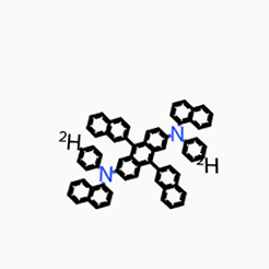 [2H]c1ccc(N(c2ccc3c(-c4ccc5ccccc5c4)c4cc(N(c5ccc([2H])cc5)c5cccc6ccccc56)ccc4c(-c4ccc5ccccc5c4)c3c2)c2cccc3ccccc23)cc1